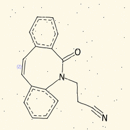 N#CCCN1C(=O)c2ccccc2/C=C\c2ccccc21